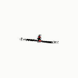 CCCCCCCCCCCCCCCCCCCCCCOCCCCCCCCCCCCCCCCCCCCCC.O=P([O-])([O-])[O-].[K+].[K+].[K+]